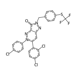 O=c1c2nn(-c3ccc(Cl)cc3)c(-c3ccc(Cl)cc3Cl)cc-2nn1Cc1ccc(SC(F)(F)F)cc1